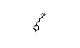 OCCCCc1ccc(F)cc1